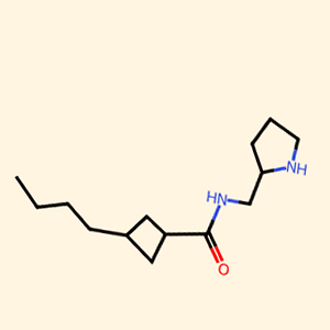 CCCCC1CC(C(=O)NCC2CCCN2)C1